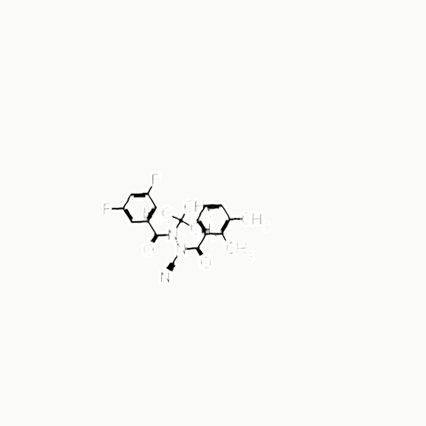 Cc1cccc(C(=O)N(C#N)N(C(=O)c2cc(F)cc(F)c2)C(C)(C)C)c1C